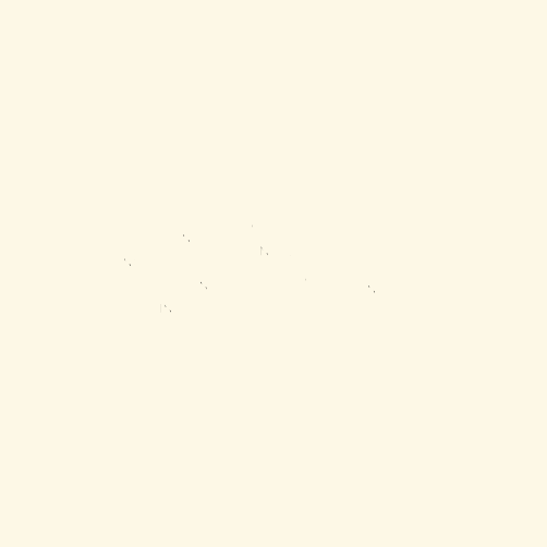 CN(CCN1CCNC1=C(C#N)C#N)c1ccc(CN2CCCCC2)o1